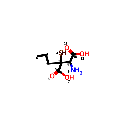 CCCC(S)(C(=O)O)C(N)C(=O)O